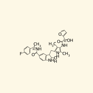 Cc1[nH]c(CC2c3cc(C(=O)N[C@H](C)c4ccc(F)cc4)ccc3NC2O)c(C)c1NC(=O)[C@H](O)c1ccco1